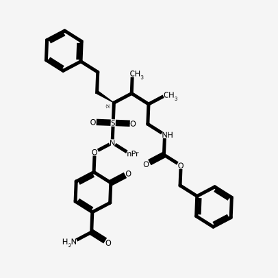 CCCN(OC1=CC=C(C(N)=O)CC1=O)S(=O)(=O)[C@@H](CCc1ccccc1)C(C)C(C)CNC(=O)OCc1ccccc1